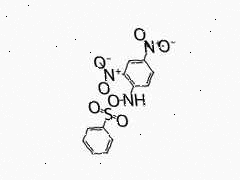 O=[N+]([O-])c1ccc(NOS(=O)(=O)c2ccccc2)c([N+](=O)[O-])c1